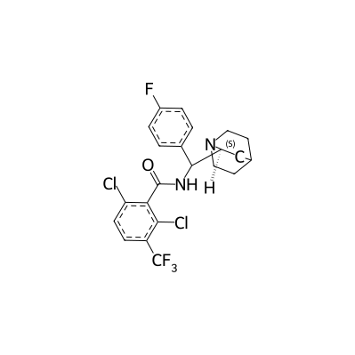 O=C(NC(c1ccc(F)cc1)[C@@H]1CC2CCN1CC2)c1c(Cl)ccc(C(F)(F)F)c1Cl